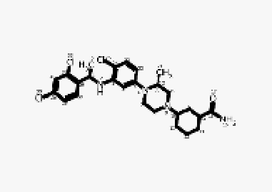 CC(Nc1cc(N2CCN(C3CCCC(C(N)=O)C3)C[C@@H]2C)ccc1Cl)c1ccc(Cl)cc1Cl